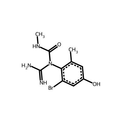 CNC(=O)N(C(=N)N)c1c(C)cc(O)cc1Br